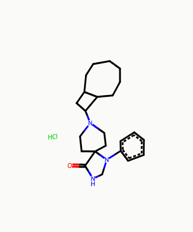 Cl.O=C1NCN(c2ccccc2)C12CCN(C1CC3CCCCCCC31)CC2